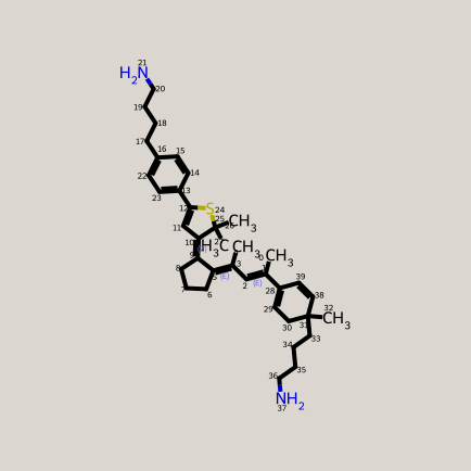 C\C(=C/C(C)=C1\CCC\C1=C1/C=C(c2ccc(CCCCN)cc2)SC1(C)C)C1=CCC(C)(CCCCN)C=C1